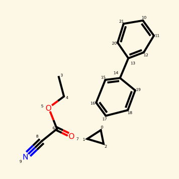 C1CC1.CCOC(=O)C#N.c1ccc(-c2ccccc2)cc1